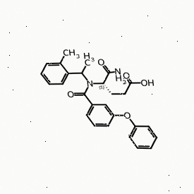 Cc1ccccc1C(C)N(C(=O)c1cccc(Oc2ccccc2)c1)[C@@H](CCC(=O)O)C(N)=O